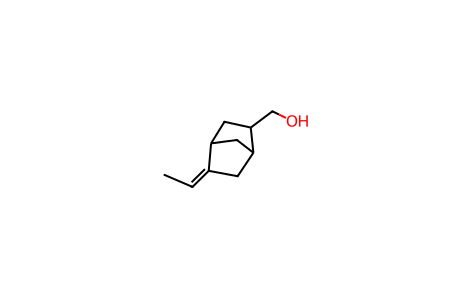 CC=C1CC2CC1CC2CO